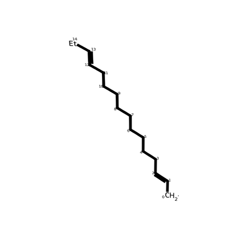 [CH2]C=CCCCCCCCCCC=CCC